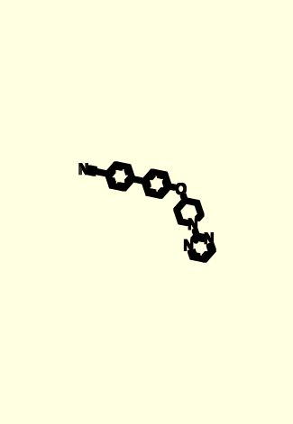 N#Cc1ccc(-c2ccc(OC3CCN(c4ncccn4)CC3)cc2)cc1